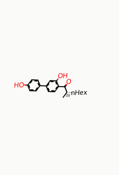 CCCCCC[C@H](C)C(=O)c1ccc(-c2ccc(O)cc2)cc1O